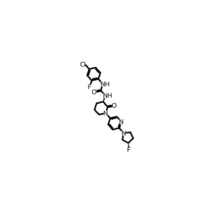 O=C(Nc1ccc(Cl)cc1F)N[C@@H]1CCCN(c2ccc(N3CC[C@@H](F)C3)nc2)C1=O